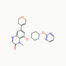 Cn1c(=O)cnc2cc(C3=CCOCC3)cc(O[C@H]3CC[C@@H](Oc4ncccn4)CC3)c21